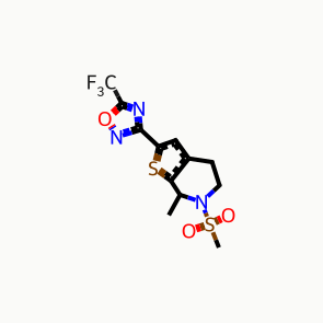 CC1c2sc(-c3noc(C(F)(F)F)n3)cc2CCN1S(C)(=O)=O